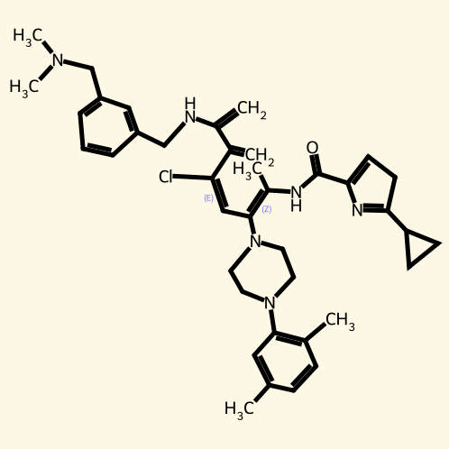 C=C(NCc1cccc(CN(C)C)c1)C(=C)/C(Cl)=C\C(=C(/C)NC(=O)C1=CCC(C2CC2)=N1)N1CCN(c2cc(C)ccc2C)CC1